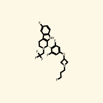 FCCCN1CC(Oc2cc(F)c([C@H]3c4[nH]c5ccc(F)cc5c4CCN3CC(F)(F)F)c(F)c2)C1